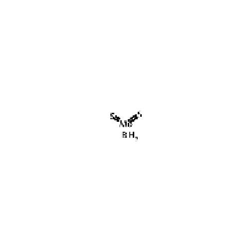 [BiH3].[S]=[Mo]=[S]